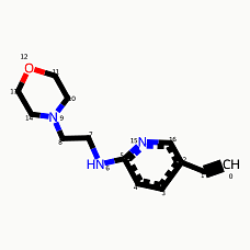 C#Cc1ccc(NCCN2CCOCC2)nc1